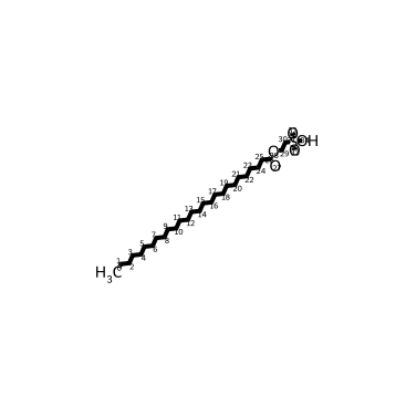 CCCCCCCCCCCCCCCCCCCCCCCCCCC(=O)OCCS(=O)(=O)O